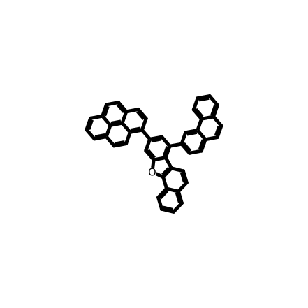 c1ccc2c(c1)ccc1ccc(-c3cc(-c4ccc5ccc6cccc7ccc4c5c67)cc4oc5c6ccccc6ccc5c34)cc12